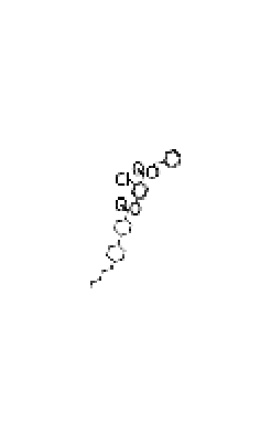 CCCCCC1CCC(C2CCC(C(=O)Oc3ccc(C(=O)OCc4ccccc4)c(Cl)c3)CC2)CC1